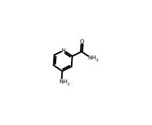 NC(=O)c1cc(N)ccn1